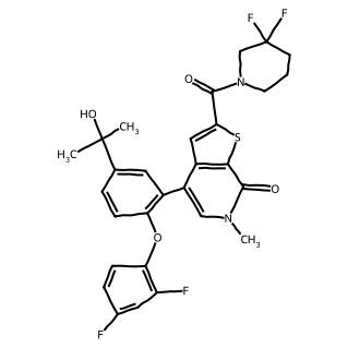 Cn1cc(-c2cc(C(C)(C)O)ccc2Oc2ccc(F)cc2F)c2cc(C(=O)N3CCCC(F)(F)C3)sc2c1=O